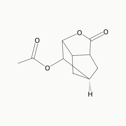 CC(=O)OC1C2OC(=O)C3C[C@H]1CC32